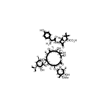 CC1(C)S[C@@H]2[C@H](NC(=O)[C@H](N)c3ccc(O)cc3)C(=O)N2[C@H]1C(=O)O.CC[C@H]1OC(=O)[C@H](C)[C@@H](O[C@H]2C[C@@](C)(OC)[C@@H](O)[C@H](C)O2)[C@H](C)[C@@H](O[C@@H]2O[C@H](C)C[C@H](N(C)C)[C@H]2O)[C@](C)(O)C[C@@H](C)C(=O)[C@H](C)[C@@H](O)[C@]1(C)O